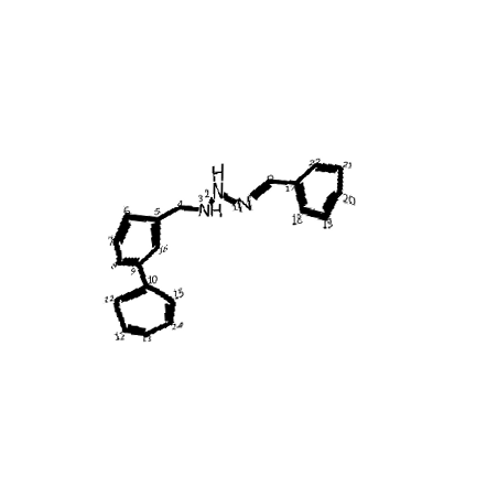 C(=N\NNCc1cccc(-c2ccccc2)c1)/c1ccccc1